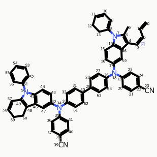 C=C/C=C\c1c(C)n(C2=CC=CCC2)c2ccc(N(c3ccc(C#N)cc3)c3ccc(-c4ccc(N(c5ccc(C#N)cc5)c5ccc6c(c5)c5c(n6-c6ccccc6)C=CCC5)cc4)cc3)cc12